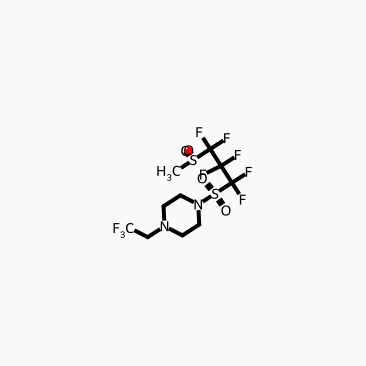 CS(=O)(=O)C(F)(F)C(F)(F)C(F)(F)S(=O)(=O)N1CCN(CC(F)(F)F)CC1